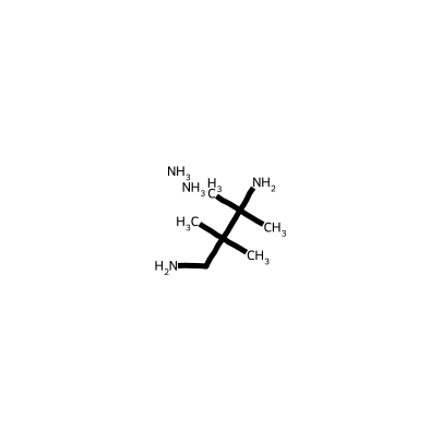 CC(C)(N)C(C)(C)CN.N.N